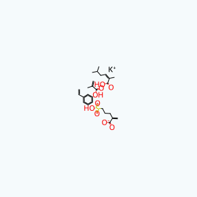 C=C(C)C(=O)O.C=C(CCCS(=O)(=O)O)C(=O)[O-].C=Cc1ccccc1.CC(=CCC(C)C)C(=O)O.[K+]